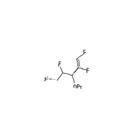 CCCC(/C(F)=C/F)C(F)CF